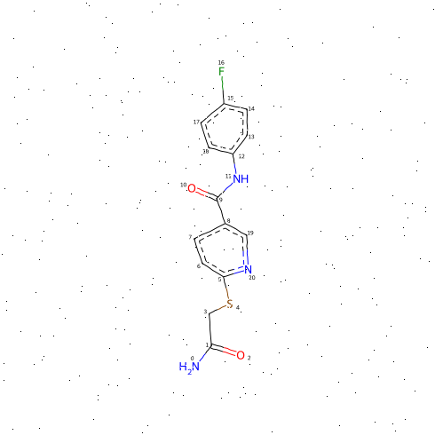 NC(=O)CSc1ccc(C(=O)Nc2ccc(F)cc2)cn1